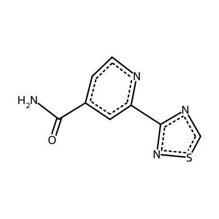 NC(=O)c1ccnc(-c2ncsn2)c1